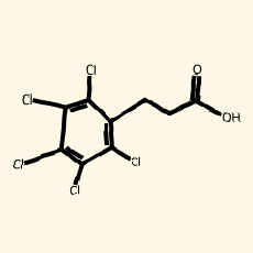 O=C(O)CCc1c(Cl)c(Cl)c(Cl)c(Cl)c1Cl